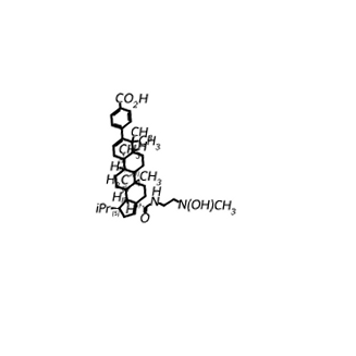 CC(C)[C@@H]1CC[C@]2(C(=O)NCCN(C)O)CC[C@]3(C)[C@H](CC[C@@H]4[C@@]5(C)CC=C(c6ccc(C(=O)O)cc6)C(C)(C)[C@@H]5CC[C@]43C)[C@@H]12